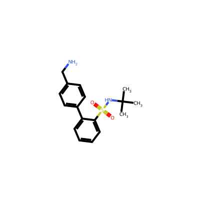 CC(C)(C)NS(=O)(=O)c1ccccc1-c1ccc(CN)cc1